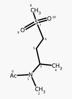 CC(=O)N(C)C(C)CCS(C)(=O)=O